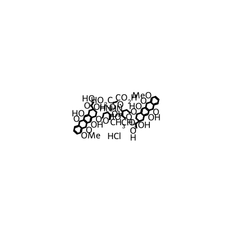 COc1cccc2c1C(=O)c1c(O)c3c(c(O)c1C2=O)C[C@@](O)(C(=O)CO)C[C@@H]3OC1CC(NOC(C(=O)O)C(ONC2CC(O[C@H]3C[C@](O)(C(=O)CO)Cc4c(O)c5c(c(O)c43)C(=O)c3c(OC)cccc3C5=O)OC(C)C2O)C(=O)O)C(O)C(C)O1.Cl